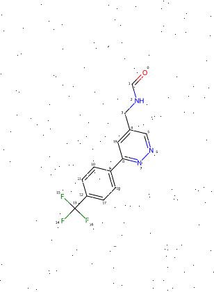 O=CNCc1cnnc(-c2ccc(C(F)(F)F)cc2)c1